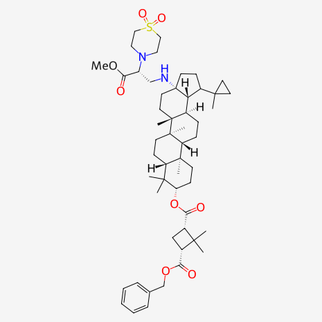 COC(=O)[C@@H](CN[C@]12CCC(C3(C)CC3)[C@@H]1[C@H]1CC[C@@H]3[C@@]4(C)CC[C@H](OC(=O)[C@H]5C[C@@H](C(=O)OCc6ccccc6)C5(C)C)C(C)(C)[C@@H]4CC[C@@]3(C)[C@]1(C)CC2)N1CCS(=O)(=O)CC1